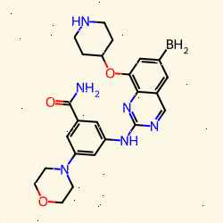 Bc1cc(OC2CCNCC2)c2nc(Nc3cc(C(N)=O)cc(N4CCOCC4)c3)ncc2c1